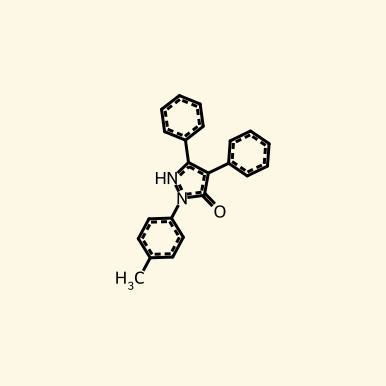 Cc1ccc(-n2[nH]c(-c3ccccc3)c(-c3ccccc3)c2=O)cc1